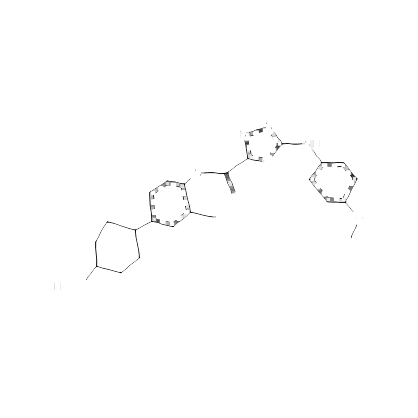 O=C(Nc1ccc(C2CCC(C(=O)O)CC2)cc1F)c1nnc(Nc2ccc(OC(F)(F)F)cc2)o1